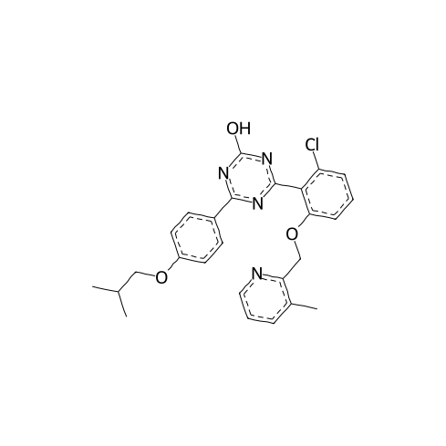 Cc1cccnc1COc1cccc(Cl)c1-c1nc(O)nc(-c2ccc(OCC(C)C)cc2)n1